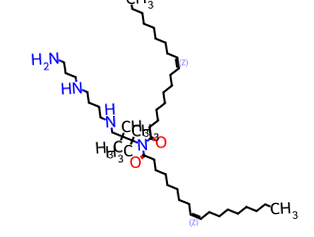 CCCCCCCC/C=C\CCCCCCCC(=O)N(C(=O)CCCCCCC/C=C\CCCCCCCC)C(C)(C)C(C)(C)CNCCCCNCCCN